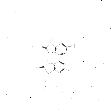 O=C1Cc2cc(Cl)ccc2N1.O=C1Cc2ccc(Cl)cc2N1